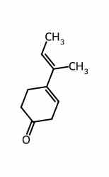 CC=C(C)C1=CCC(=O)CC1